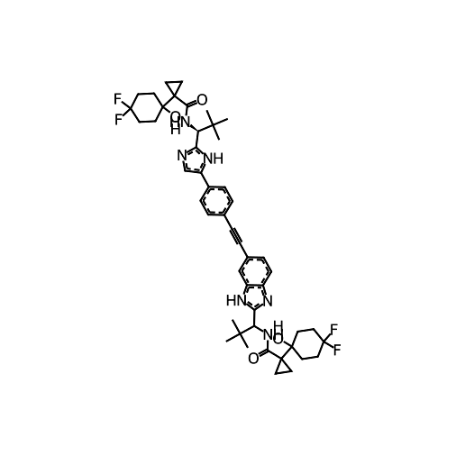 CC(C)(C)C(NC(=O)C1(C2(O)CCC(F)(F)CC2)CC1)c1nc2ccc(C#Cc3ccc(-c4cnc([C@@H](NC(=O)C5(C6(O)CCC(F)(F)CC6)CC5)C(C)(C)C)[nH]4)cc3)cc2[nH]1